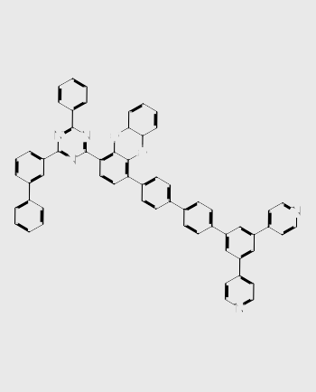 C1=CC2Oc3c(-c4ccc(-c5ccc(-c6cc(-c7ccncc7)cc(-c7ccncc7)c6)cc5)cc4)ccc(-c4nc(-c5ccccc5)nc(-c5cccc(-c6ccccc6)c5)n4)c3OC2C=C1